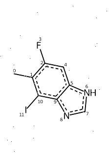 Cc1c(F)cc2[nH]cnc2c1I